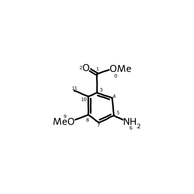 COC(=O)c1cc(N)cc(OC)c1C